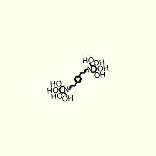 OCC1C(O)C(O)C(O)CN1/C=C/Cc1ccc(C/C=C/N2CC(O)C(O)C(O)C2CO)cc1